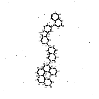 c1ccc2c(-c3ccc4oc5ccc(-c6ccc7ccc(-c8cc9ccc%10ccc%11ccccc%11c%10c9c9ccccc89)cc7c6)cc5c4c3)cccc2c1